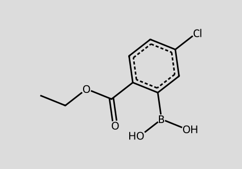 CCOC(=O)c1ccc(Cl)cc1B(O)O